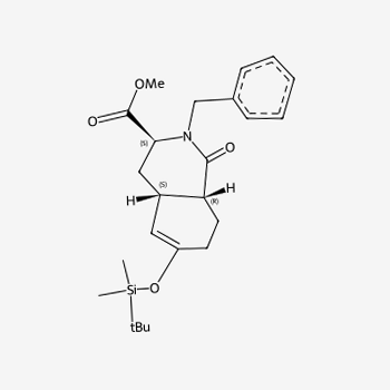 COC(=O)[C@@H]1C[C@H]2C=C(O[Si](C)(C)C(C)(C)C)CC[C@H]2C(=O)N1Cc1ccccc1